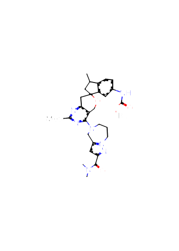 CSc1nc2c(c(N3CCCn4nc(C(=O)N(C)C)cc4C3)n1)COC1(C2)CC(C)c2ccc(NC(=O)OC(C)(C)C)cc21